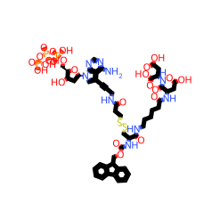 Nc1ncnc2c1c(C#CCNC(=O)CCSSCC(NC(=O)OCC1c3ccccc3-c3ccccc31)C(=O)NCCCCCC(=O)NC(CC(=O)O)C(=O)NC(CC(=O)O)C(=O)O)cn2[C@H]1CC(O)[C@@H](COP(=O)(O)OP(=O)(O)OP(=O)(O)O)O1